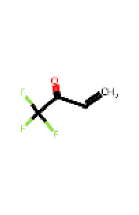 C=CC(=O)C(F)(F)F